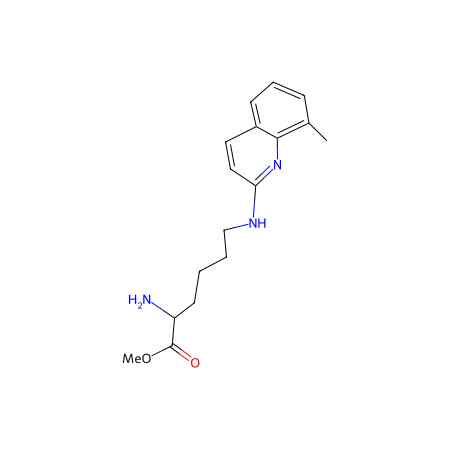 COC(=O)C(N)CCCCNc1ccc2cccc(C)c2n1